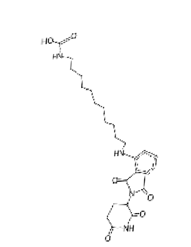 O=C(O)NCCCCCCCCCCCNc1cccc2c1C(=O)N(C1CCC(=O)NC1=O)C2=O